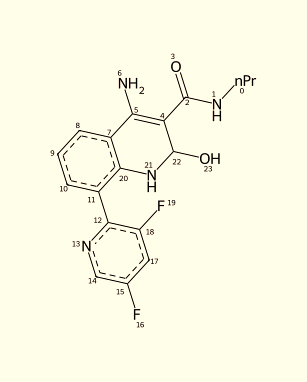 CCCNC(=O)C1=C(N)c2cccc(-c3ncc(F)cc3F)c2NC1O